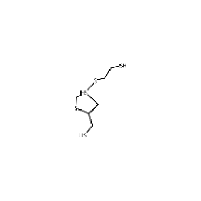 SCCS[SH]1CSC(CS)C1